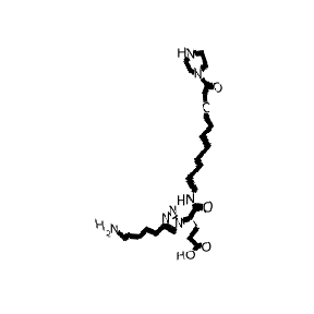 NCCCCCc1cn([C@@H](CCC(=O)O)C(=O)NCCCCCCCCCCC(=O)N2CCNCC2)nn1